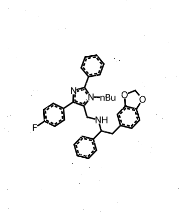 CCCCn1c(-c2ccccc2)nc(-c2ccc(F)cc2)c1CNC(Cc1ccc2c(c1)OCO2)c1ccccc1